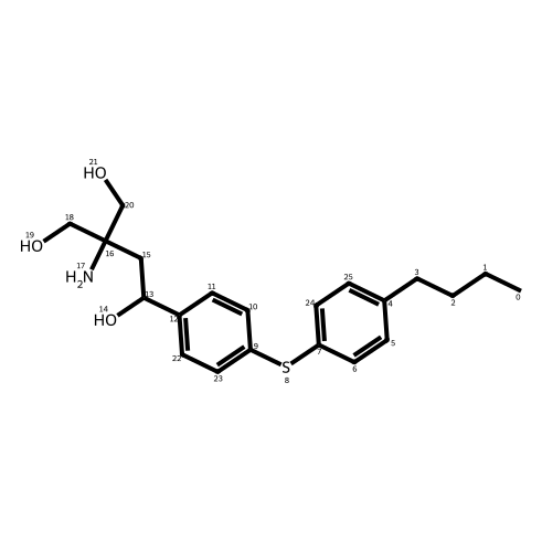 CCCCc1ccc(Sc2ccc(C(O)CC(N)(CO)CO)cc2)cc1